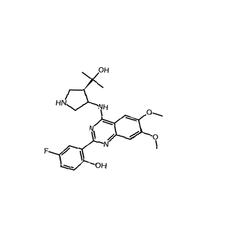 COc1cc2nc(-c3cc(F)ccc3O)nc(NC3CNC[C@H]3C(C)(C)O)c2cc1OC